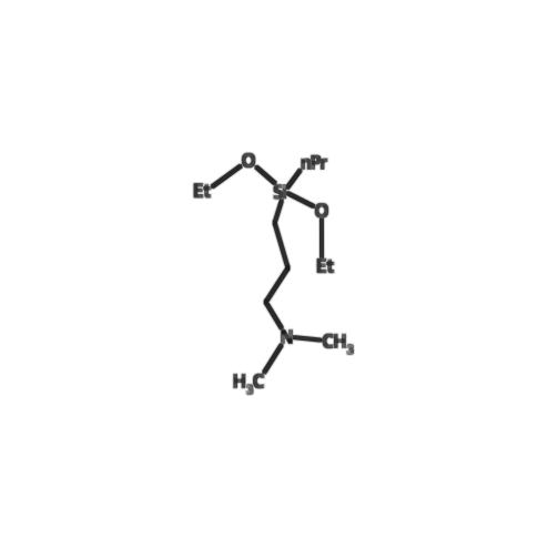 CCC[Si](CCCN(C)C)(OCC)OCC